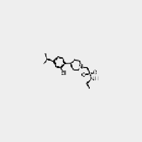 CCNS(=O)(=O)CN1CCC(c2ccc(C(C)C)cc2Cl)CC1